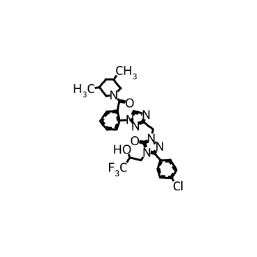 CC1CC(C)CN(C(=O)c2ccccc2-n2cnc(Cn3nc(-c4ccc(Cl)cc4)n(CC(O)C(F)(F)F)c3=O)n2)C1